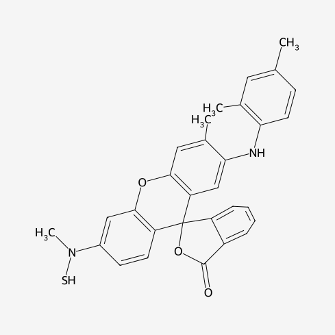 Cc1ccc(Nc2cc3c(cc2C)Oc2cc(N(C)S)ccc2C32OC(=O)c3ccccc32)c(C)c1